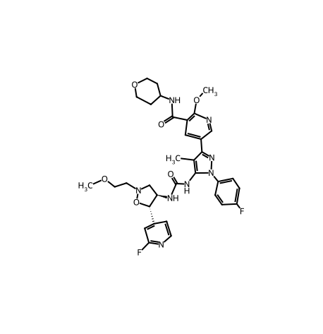 COCCN1C[C@@H](NC(=O)Nc2c(C)c(-c3cnc(OC)c(C(=O)NC4CCOCC4)c3)nn2-c2ccc(F)cc2)[C@H](c2ccnc(F)c2)O1